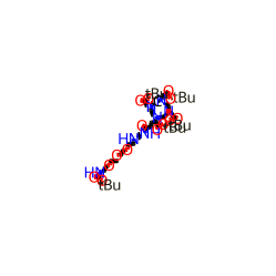 CC(C)(C)OC(=O)CN1CCN(CC(=O)OC(C)(C)C)CCN(C(CCC(=O)NCCNCCOCCOCCOCCNC(=O)OC(C)(C)C)C(=O)OC(C)(C)C)CCN(CC(=O)OC(C)(C)C)CC1